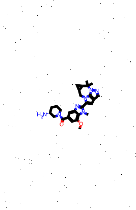 COc1cc(C(=O)N2CCC[C@@H](N)C2)cc2nc(-c3cc4cnn5c4n3CC3CC3C5(C)C)n(C)c12